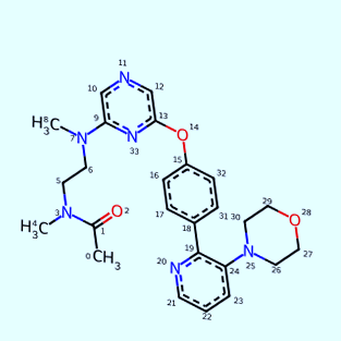 CC(=O)N(C)CCN(C)c1cncc(Oc2ccc(-c3ncccc3N3CCOCC3)cc2)n1